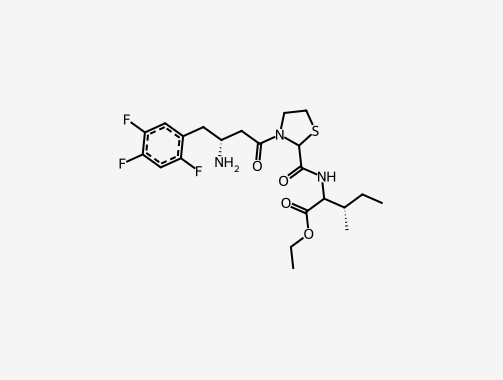 CCOC(=O)C(NC(=O)C1SCCN1C(=O)C[C@H](N)Cc1cc(F)c(F)cc1F)[C@@H](C)CC